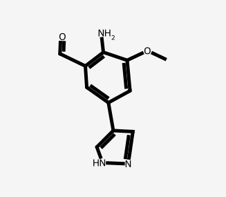 COc1cc(-c2cn[nH]c2)cc(C=O)c1N